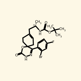 C[C@@H](CC1=CCC2(CC1)OC(=O)NN=C2c1ccc(F)cc1Br)NC(=O)OC(C)(C)C